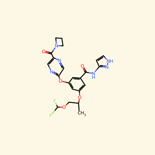 CC(COC(F)F)Oc1cc(Oc2cnc(C(=O)N3CCC3)cn2)cc(C(=O)Nc2cc[nH]n2)c1